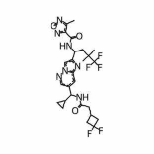 Cc1nonc1C(=O)N[C@@H](CC(C)(C)C(F)(F)F)c1cn2ncc(C(NC(=O)CC3CC(F)(F)C3)C3CC3)cc2n1